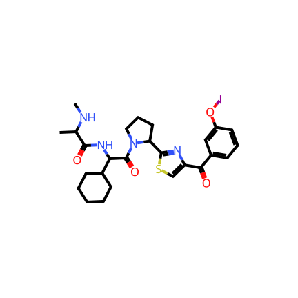 CNC(C)C(=O)NC(C(=O)N1CCCC1c1nc(C(=O)c2cccc(OI)c2)cs1)C1CCCCC1